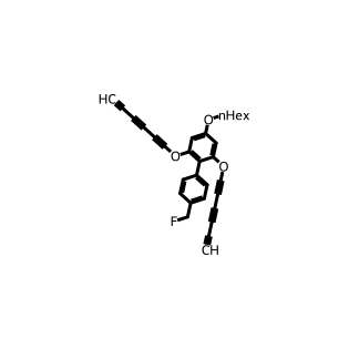 C#CC#CC#COc1cc(OCCCCCC)cc(OC#CC#CC#C)c1-c1ccc(CF)cc1